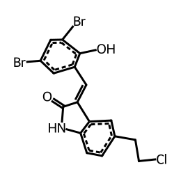 O=C1Nc2ccc(CCCl)cc2C1=Cc1cc(Br)cc(Br)c1O